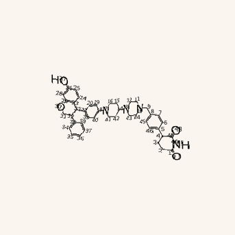 O=C1CCC(c2ccc(CN3CCN(C4CCN(c5ccc(C6c7ccc(O)cc7OCC6c6ccccc6)cc5)CC4)CC3)cc2)C(=O)N1